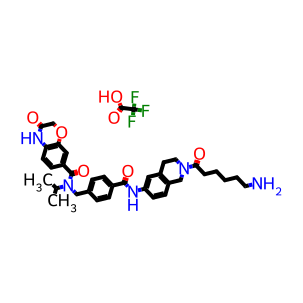 CC(C)N(Cc1ccc(C(=O)Nc2ccc3c(c2)CCN(C(=O)CCCCCN)C3)cc1)C(=O)c1ccc2c(c1)OCC(=O)N2.O=C(O)C(F)(F)F